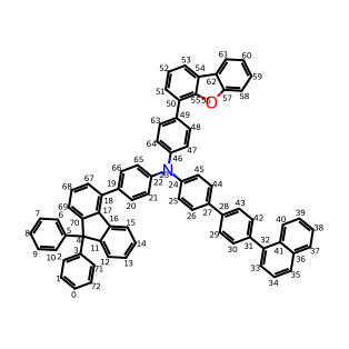 c1ccc(C2(c3ccccc3)c3ccccc3-c3c(-c4ccc(N(c5ccc(-c6ccc(-c7cccc8ccccc78)cc6)cc5)c5ccc(-c6cccc7c6oc6ccccc67)cc5)cc4)cccc32)cc1